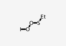 CCSOOI